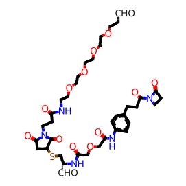 O=CCCOCCOCCOCCOCCNC(=O)CCN1C(=O)CC(SC[C@@H](C=O)NC(=O)COCC(=O)Nc2ccc(CCC(=O)N3CCC3=O)cc2)C1=O